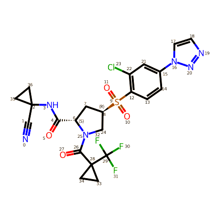 N#CC1(NC(=O)[C@@H]2C[C@@H](S(=O)(=O)c3ccc(-n4ccnn4)cc3Cl)CN2C(=O)C2(C(F)(F)F)CC2)CC1